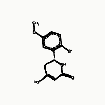 COc1ccc(Br)c([C@H]2CC(O)=CC(=O)N2)c1